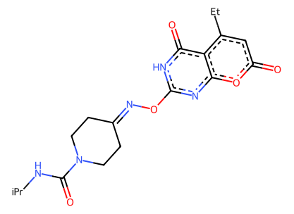 CCc1cc(=O)oc2nc(ON=C3CCN(C(=O)NC(C)C)CC3)[nH]c(=O)c12